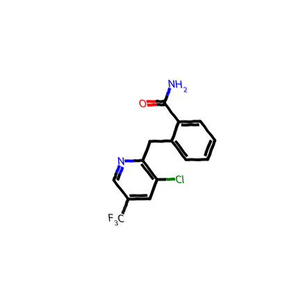 NC(=O)c1ccccc1Cc1ncc(C(F)(F)F)cc1Cl